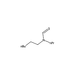 CCCCCCN(C=S)CCC